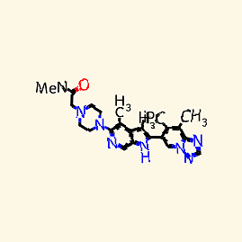 CNC(=O)CN1CCN(c2ncc3[nH]c(-c4cn5ncnc5c(C)c4C)c(C(C)C)c3c2C)CC1